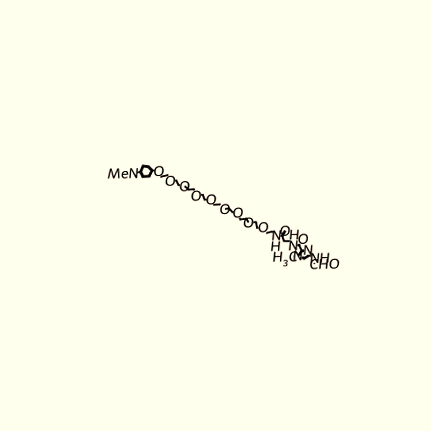 CNc1ccc(OCCOCCOCCOCCOCCOCCOCCOCCOCCNC(=O)CCNC(=O)c2nc(NC=O)cn2C)cc1